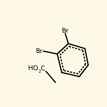 Brc1ccccc1Br.CC(=O)O